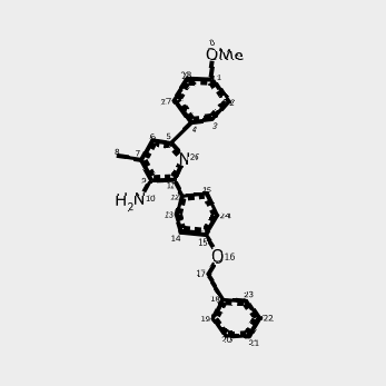 COc1ccc(-c2cc(C)c(N)c(-c3ccc(OCc4ccccc4)cc3)n2)cc1